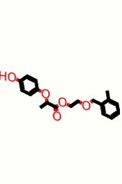 Cc1ccccc1COCCOC(=O)C(C)Oc1ccc(O)cc1